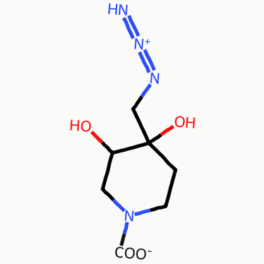 N=[N+]=NCC1(O)CCN(C(=O)[O-])CC1O